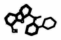 CN(c1ccccc1C1CCCCC1)c1cccc2c1oc1c(C#N)cccc12